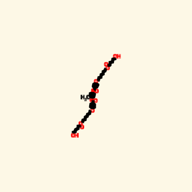 Cc1cc(OC(=O)c2ccc(OCCCCCCCCOC(=O)CCCCCO)cc2)ccc1OC(=O)c1ccc(OCCCCCCCCOC(=O)CCCCCO)cc1